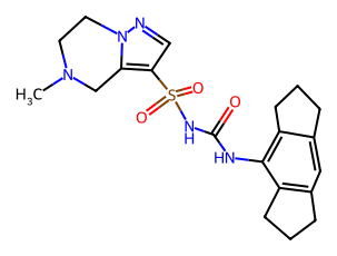 CN1CCn2ncc(S(=O)(=O)NC(=O)Nc3c4c(cc5c3CCC5)CCC4)c2C1